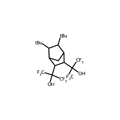 CC(C)(C)C1C2CC(C1C(C)(C)C)C(C(O)(C(F)(F)F)C(F)(F)F)C2C(O)(C(F)(F)F)C(F)(F)F